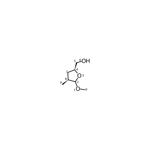 COC1O[C@H](CO)C[C@@H]1C